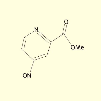 COC(=O)c1cc(N=O)ccn1